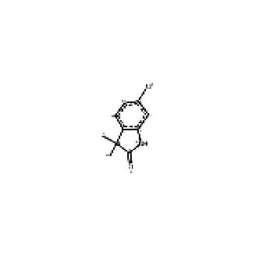 CC1(C)C(=O)Nc2cc(Cl)ccc21